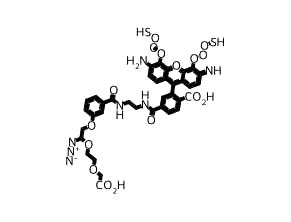 [N-]=[N+]=NC(COc1cccc(C(=O)NCCNC(=O)c2ccc(C(=O)O)c(-c3c4ccc(=N)c(OOOS)c-4oc4c(OOOS)c(N)ccc34)c2)c1)OCCOCC(=O)O